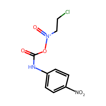 O=C(Nc1ccc([N+](=O)[O-])cc1)O[N+](=O)CCCl